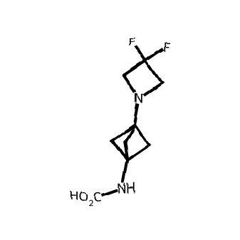 O=C(O)NC12CC(N3CC(F)(F)C3)(C1)C2